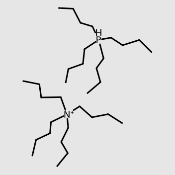 CCCC[N+](CCCC)(CCCC)CCCC.CCCC[PH](CCCC)(CCCC)CCCC